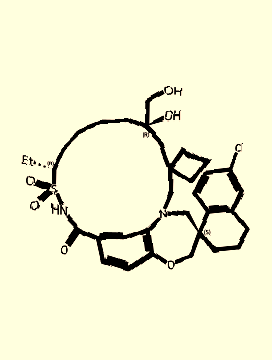 CC[C@@H]1CCCC[C@](O)(CO)CC2(CCC2)CN2C[C@@]3(CCCc4cc(Cl)ccc43)COc3ccc(cc32)C(=O)NS1(=O)=O